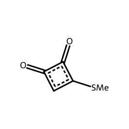 CSc1cc(=O)c1=O